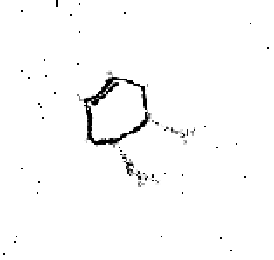 N[C@@H]1CC=CC[C@@H]1S